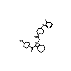 Cc1ccccc1OC1CCN(C(=O)Cn2nc(C(=O)N3CCC(O)CC3)c3c2CCCCC3)CC1